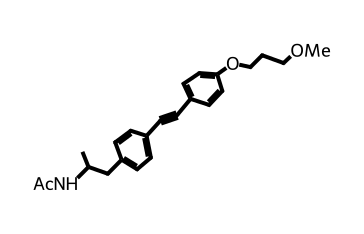 COCCCOc1ccc(C#Cc2ccc(CC(C)NC(C)=O)cc2)cc1